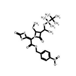 CSC1C(C(C)O[Si](C)(C)C(C)(C)C)C(=O)N1C(C(=O)OCc1ccc([N+](=O)[O-])cc1)=C1SC(=O)S1